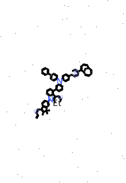 C=C/C=C\C1=C(C)C(C)(C)c2cc(-n3c(CC)c(/C=C\C)c4c(-c5cccc(N(c6ccc(C/C=C\C(=C/C)C7=CC=CC8C=CC=CC7C8)cc6)c6ccc(-c7ccccc7)cc6)c5)cccc43)ccc21